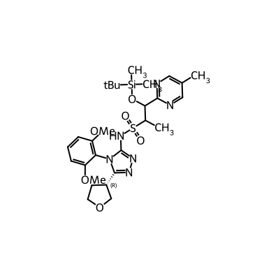 COc1cccc(OC)c1-n1c(NS(=O)(=O)C(C)C(O[Si](C)(C)C(C)(C)C)c2ncc(C)cn2)nnc1[C@H]1CCOC1